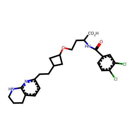 O=C(NC(CCOC1CC(CCc2ccc3c(n2)NCCC3)C1)C(=O)O)c1ccc(Cl)c(Cl)c1